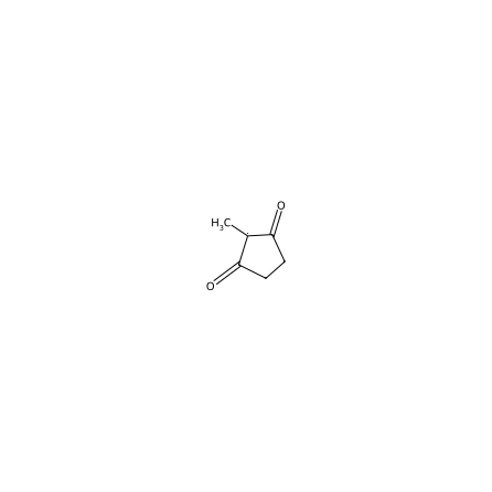 C[C]1C(=O)CCC1=O